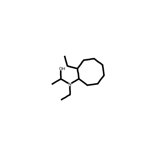 CCC1CCCCCCC1N(CC)C(C)O